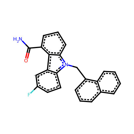 NC(=O)c1cccc2c1c1[c]c(F)ccc1n2Cc1cccc2ccccc12